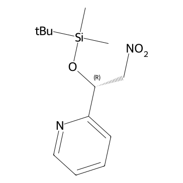 CC(C)(C)[Si](C)(C)O[C@H](C[N+](=O)[O-])c1ccccn1